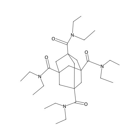 CCN(CC)C(=O)C12CC3(C(=O)N(CC)CC)CC(C(=O)N(CC)CC)(C1)CC(C(=O)N(CC)CC)(C2)C3